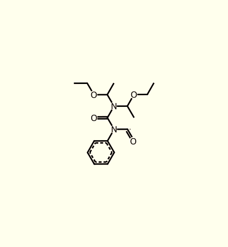 CCOC(C)N(C(=O)N([C]=O)c1ccccc1)C(C)OCC